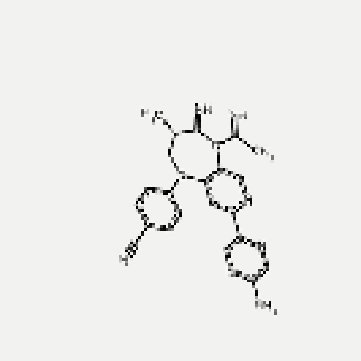 CC(=N)N1C(=N)[C@H](C)CN(c2ccc(C#N)cc2)c2cc(-c3cnc(N)cn3)ncc21